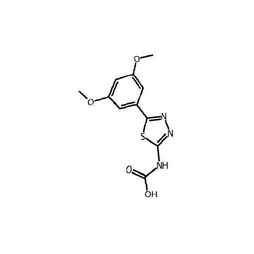 COc1cc(OC)cc(-c2nnc(NC(=O)O)s2)c1